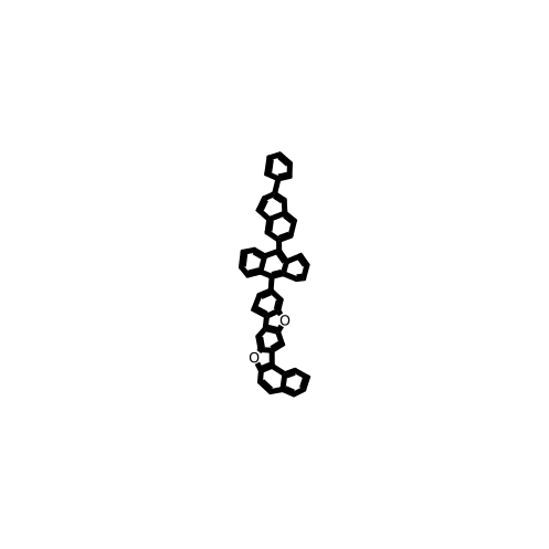 c1ccc(-c2ccc3cc(-c4c5ccccc5c(-c5ccc6c(c5)oc5cc7c(cc56)oc5ccc6ccccc6c57)c5ccccc45)ccc3c2)cc1